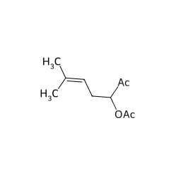 CC(=O)OC(CC=C(C)C)C(C)=O